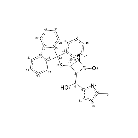 Cc1nc(C(O)C2C(=O)NC2SC(c2ccccc2)(c2ccccc2)c2ccccc2)cs1